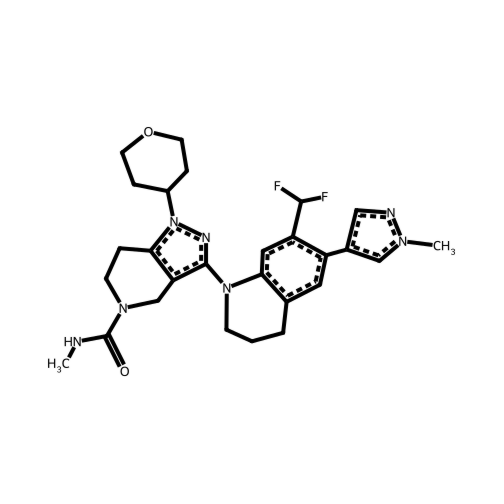 CNC(=O)N1CCc2c(c(N3CCCc4cc(-c5cnn(C)c5)c(C(F)F)cc43)nn2C2CCOCC2)C1